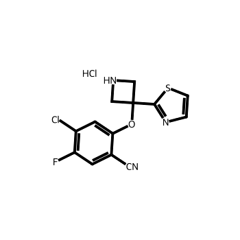 Cl.N#Cc1cc(F)c(Cl)cc1OC1(c2nccs2)CNC1